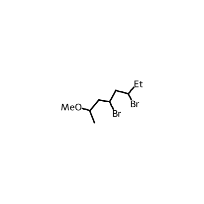 CCC(Br)CC(Br)CC(C)OC